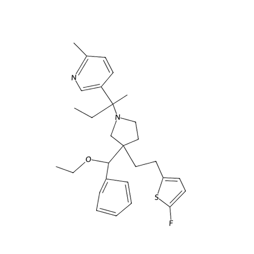 CCOC(c1ccccc1)C1(CCc2ccc(F)s2)CCN(C(C)(CC)c2ccc(C)nc2)C1